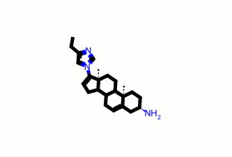 CCc1cn(C2=CCC3C4CC=C5C[C@@H](N)CC[C@]5(C)C4CC[C@]23C)cn1